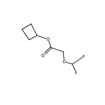 O=C(COC(F)F)OC1CCC1